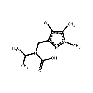 Cc1c(Br)c(CN(C(=O)O)C(C)C)nn1C